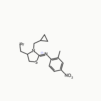 Cc1cc([N+](=O)[O-])ccc1/N=C1\SCC(CC(C)C)N1CC1CC1